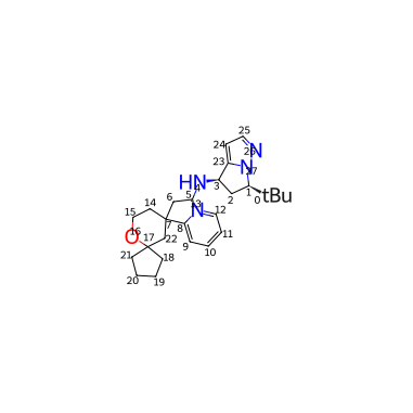 CC(C)(C)[C@H]1C[C@@H](NCCC2(c3ccccn3)CCOC3(CCCC3)C2)c2ccnn21